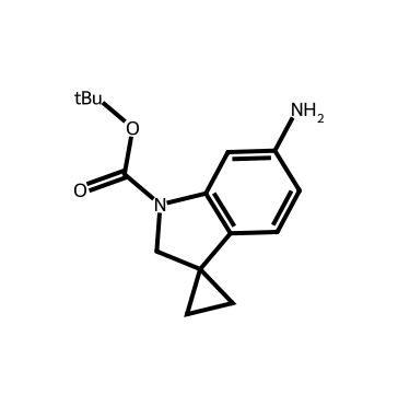 CC(C)(C)OC(=O)N1CC2(CC2)c2ccc(N)cc21